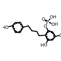 O=P(O)(O)Oc1cc(O)cc(O)c1CCCCc1ccc(O)cc1